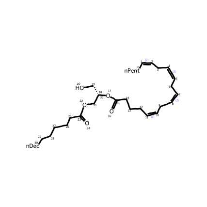 CCCCC/C=C\C/C=C\C/C=C\C/C=C\CCCC(=O)O[C@@H](CO)COC(=O)CCCCCCCCCCCCCCC